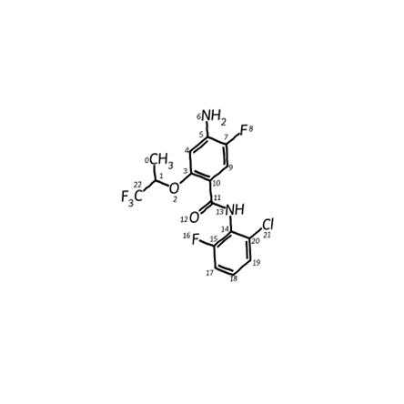 CC(Oc1cc(N)c(F)cc1C(=O)Nc1c(F)cccc1Cl)C(F)(F)F